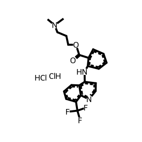 CN(C)CCCOC(=O)c1ccccc1Nc1ccnc2c(C(F)(F)F)cccc12.Cl.Cl